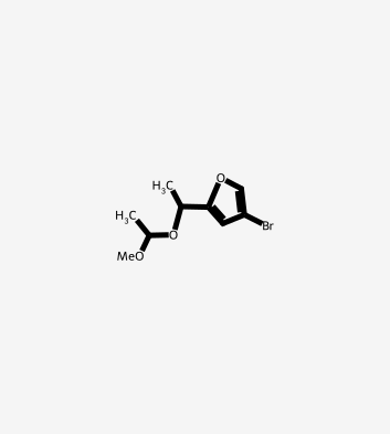 COC(C)OC(C)c1cc(Br)co1